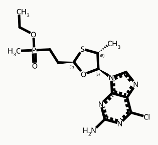 CCOP(C)(=O)CC[C@@H]1O[C@H](n2cnc3c(Cl)nc(N)nc32)[C@@H](C)S1